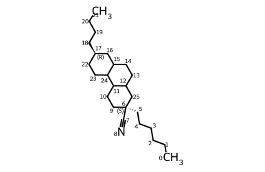 CCCCCC[C@]1(C#N)CCC2C(CCC3C[C@H](CCCC)CCC32)C1